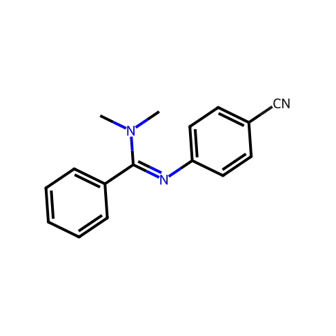 CN(C)C(=Nc1ccc(C#N)cc1)c1ccccc1